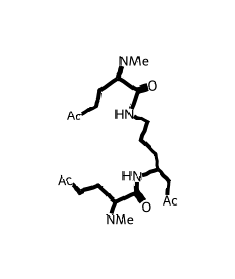 CNC(CCC(C)=O)C(=O)NCCCC(CC(C)=O)NC(=O)C(CCC(C)=O)NC